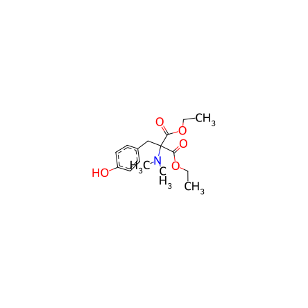 CCOC(=O)C(Cc1ccc(O)cc1)(C(=O)OCC)N(C)C